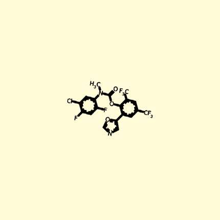 CN(C(=O)Oc1c(-c2cnco2)cc(C(F)(F)F)cc1C(F)(F)F)c1cc(Cl)c(F)cc1F